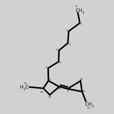 CCCCCCCC1C(=C2CC2C)CC1C